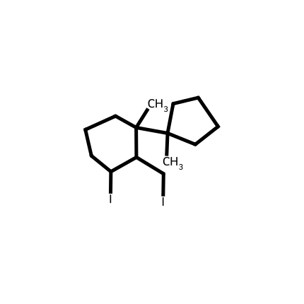 CC1(C2(C)CCCC(I)C2CI)CCCC1